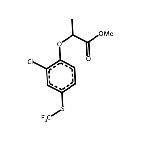 COC(=O)C(C)Oc1ccc(SC(F)(F)F)cc1Cl